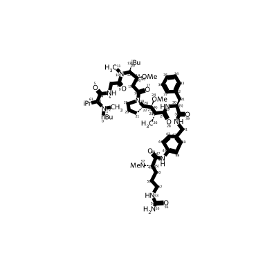 CCCCN(C)C(C(=O)NCC(=O)N(C)C([C@@H](C)CC)[C@@H](CC(=O)N1CCC[C@H]1[C@H](OC)[C@@H](C)C(=O)N[C@@H](Cc1ccccc1)C(=O)NCc1ccc(NC(=O)[C@H](CCCNC(N)=O)NC)cc1)OC)C(C)C